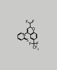 FC(F)C1C=C(n2ccccc2=S)c2cc(C(F)(F)C(F)(F)F)ccc2O1